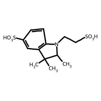 CC1N(CCS(=O)(=O)O)c2ccc(S(=O)(=O)O)cc2C1(C)C